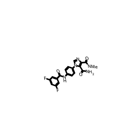 CNC(=O)c1ncn(-c2ccc(NC(=O)c3cc(F)cc(F)c3)cc2)c1C(N)=O